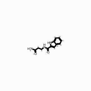 NC(=O)CCNC(=O)c1cc2ccccc2[nH]1